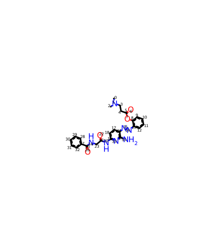 CN(C)CCC(=O)Oc1ccccc1/N=N/c1ccc(NC(=O)CNC(=O)c2ccccc2)nc1N